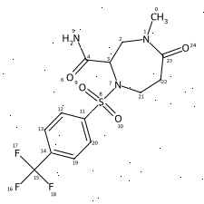 CN1CC(C(N)=O)N(S(=O)(=O)c2ccc(C(F)(F)F)cc2)C[CH]C1=O